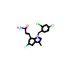 Cc1cn(Cc2ccc(Cl)cc2Cl)c2c(C=CC(N)=O)cc(F)cc12